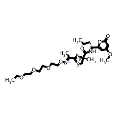 CCC[C@@H](NC(=O)[C@]1(C)CSC(/C(C)=N/OCCOCCOCCOCC)=N1)c1cc(OC)cc(=O)o1